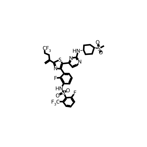 C=C(CCC(F)(F)F)c1nc(-c2cccc(NS(=O)(=O)c3c(F)cccc3C(F)(F)F)c2F)c(-c2ccnc(N[C@H]3CC[C@H](S(C)(=O)=O)CC3)n2)s1